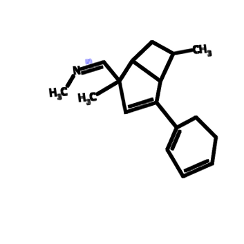 C/N=C\C1(C)C=C(C2=CC=CCC2)C2C(C)CC21